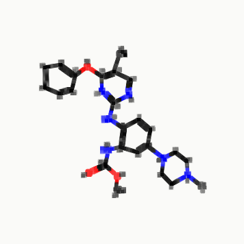 CCN1CCN(c2ccc(Nc3ncc(C#N)c(Oc4ccccc4)n3)c(NC(=O)OC(C)(C)C)c2)CC1